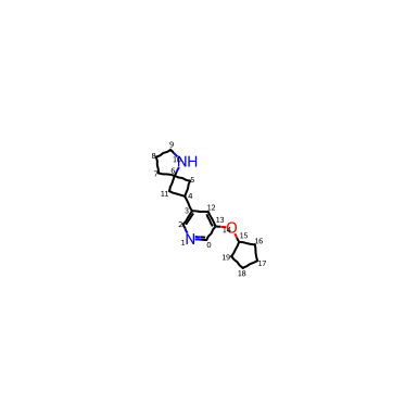 c1ncc(C2CC3(CCCN3)C2)cc1OC1CCCC1